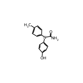 Cc1ccc(N(C(N)=O)c2ccc(O)cc2)cc1